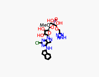 COCC(COCc1nn[nH]n1)(OC[C@H]1O[C@@H](n2ncc3c(N[C@@H]4CCc5ccccc54)nc(Cl)nc32)[C@H](O)[C@@H]1O)P(=O)(O)O